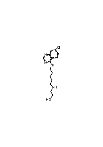 OCCNCCCCCNc1ncnc2cc(Cl)ccc12